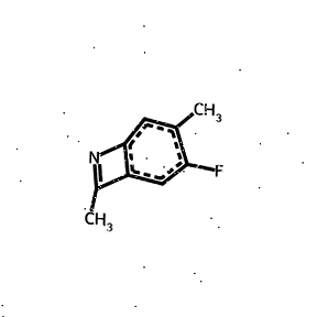 CC1=Nc2cc(C)c(F)cc21